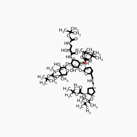 CN(C(=O)OC(C)(C)C)[C@@H]1[C@@H](O)[C@@H](O[C@@H]2[C@@H](O)[C@H](O[C@H]3OC(CNC[C@@H]4C[C@H](O[Si](C)(C)C(C)(C)C)[C@H](NC(=O)OC(C)(C)C)C4)=CC[C@H]3NC(=O)OC(C)(C)C)[C@@H](NC(=O)OC(C)(C)C)C[C@H]2NC(=O)[C@@H](O)CNC(=O)OC(C)(C)C)OC[C@]1(C)O